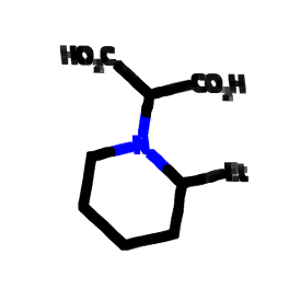 CCC1CCCCN1C(C(=O)O)C(=O)O